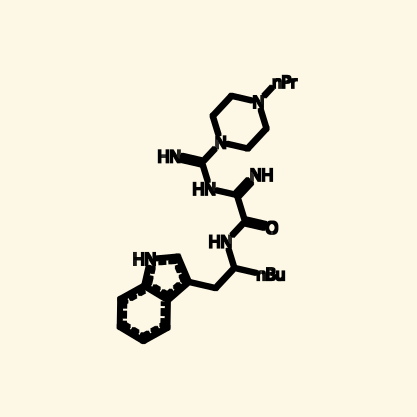 CCCCC(Cc1c[nH]c2ccccc12)NC(=O)C(=N)NC(=N)N1CCN(CCC)CC1